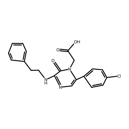 O=C(O)Cn1c(-c2ccc(Cl)cc2)cnc(NCCc2ccccc2)c1=O